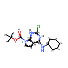 CC(C)(C)OC(=O)n1ccc2c(NC3CCCCC3)nc(Cl)nc21